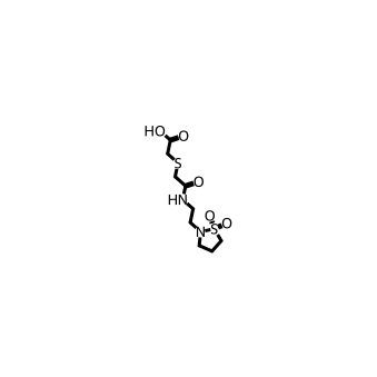 O=C(O)CSCC(=O)NCCN1CCCS1(=O)=O